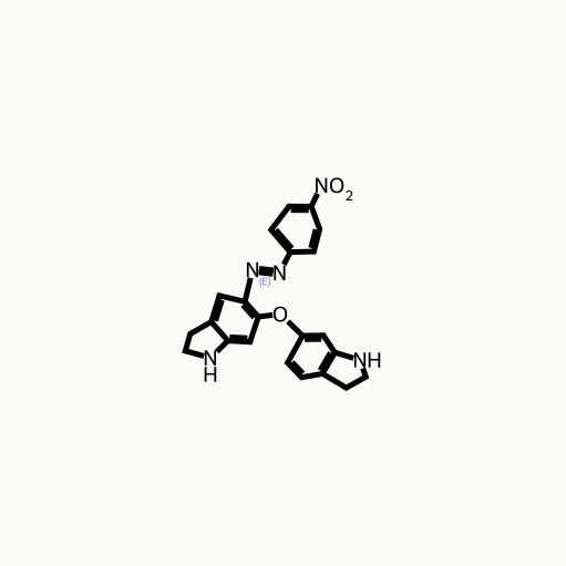 O=[N+]([O-])c1ccc(/N=N/c2cc3c(cc2Oc2ccc4c(c2)NCC4)NCC3)cc1